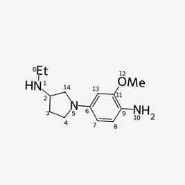 CCNC1CCN(c2ccc(N)c(OC)c2)C1